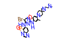 COc1cc(N2CCC3(CC2)CN(CCN(C)C)C3)c(C)cc1Nc1ncc(Br)c(Nc2ccc3nccnc3c2P(C)(C)=O)n1